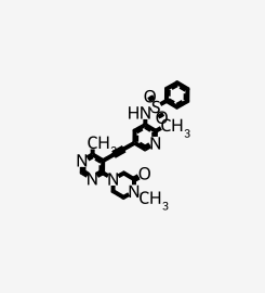 Cc1ncc(C#Cc2c(C)ncnc2N2CCN(C)C(=O)C2)cc1NS(=O)(=O)c1ccccc1